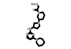 COCC(=O)N1CCCC(N2CCC(Nc3nccc(N4CCCCCC4)n3)C2)C1